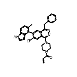 C=CC(=O)N1CCN(c2nnc(Cc3ccccc3)c3cc(-c4c(C)ccc5[nH]ccc45)c(Cl)cc23)CC1